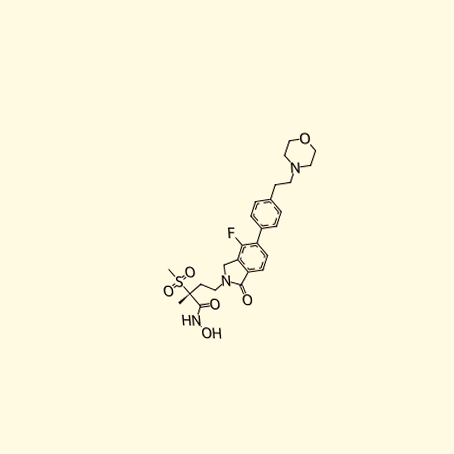 C[C@@](CCN1Cc2c(ccc(-c3ccc(CCN4CCOCC4)cc3)c2F)C1=O)(C(=O)NO)S(C)(=O)=O